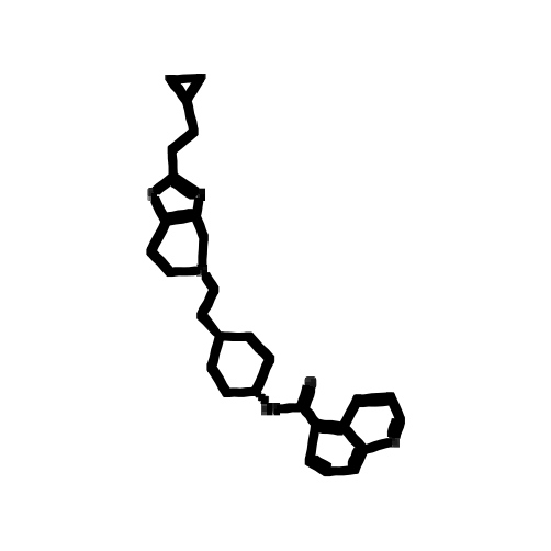 O=C(N[C@H]1CC[C@H](CCN2CCc3sc(CCC4CC4)nc3C2)CC1)c1cccc2ncccc12